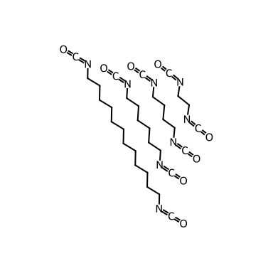 O=C=NCCCCCCCCCCCCN=C=O.O=C=NCCCCCCN=C=O.O=C=NCCCCN=C=O.O=C=NCCN=C=O